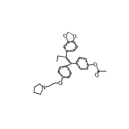 CCC(=C(c1ccc(OCCN2CCCC2)cc1)c1ccc(OC(C)=O)cc1)c1ccc2c(c1)OCO2